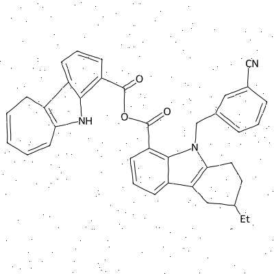 CCC1CCc2c(c3cccc(C(=O)OC(=O)c4cccc5c6c([nH]c45)C=CC=CC6)c3n2Cc2cccc(C#N)c2)C1